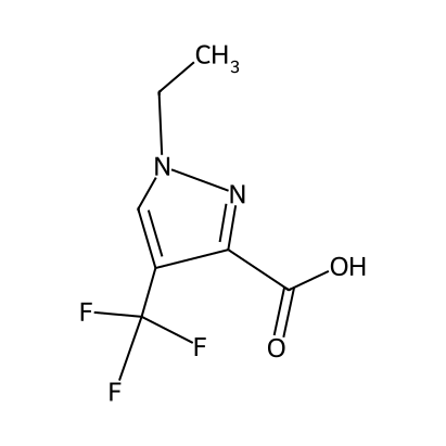 CCn1cc(C(F)(F)F)c(C(=O)O)n1